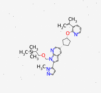 C=C(C)c1cccnc1O[C@@H]1CC[C@H](c2cnc3c(c2)cc(-c2ccnn2C)n3COCC[Si](C)(C)C)C1